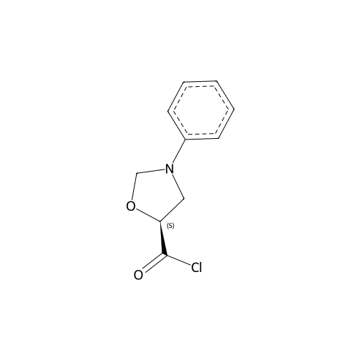 O=C(Cl)[C@@H]1CN(c2ccccc2)CO1